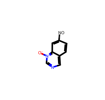 O=Nc1ccc2cnc[n+]([O-])c2c1